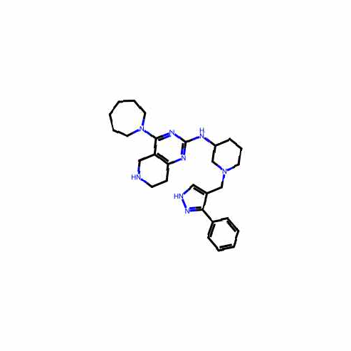 c1ccc(-c2n[nH]cc2CN2CCCC(Nc3nc4c(c(N5CCCCCC5)n3)CNCC4)C2)cc1